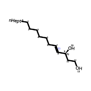 CCCCCCCCCCCCC/C=C/[C@@H](O)CCO